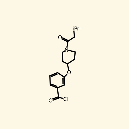 C[C](C)CC(=O)N1CCC(Oc2cccc(C(=O)Cl)c2)CC1